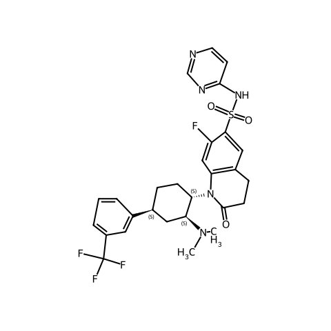 CN(C)[C@H]1C[C@@H](c2cccc(C(F)(F)F)c2)CC[C@@H]1N1C(=O)CCc2cc(S(=O)(=O)Nc3ccncn3)c(F)cc21